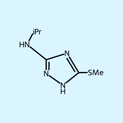 CSc1nc(NC(C)C)n[nH]1